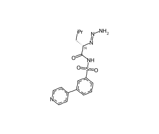 CC(C)C[C@H](N=NN)C(=O)NS(=O)(=O)c1cccc(-c2ccncc2)c1